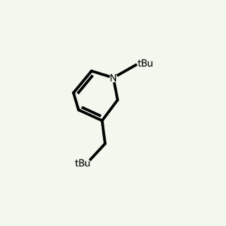 CC(C)(C)CC1=CC=CN(C(C)(C)C)C1